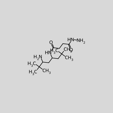 CC(C)(C)CC(CC(N)C(C)(C)C)NC(=O)CCC(=O)NN